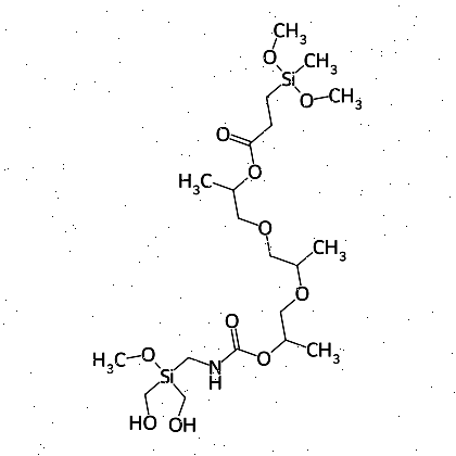 CO[Si](CO)(CO)CNC(=O)OC(C)COC(C)COCC(C)OC(=O)CC[Si](C)(OC)OC